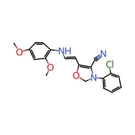 COc1ccc(N/C=C/C2=C(C#N)N(c3ccccc3Cl)CO2)c(OC)c1